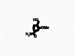 COc1cc(C(N)=O)ccc1CO